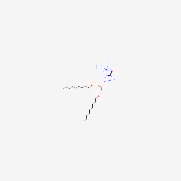 CCCCCCCCCC(=O)OCC(COC(=O)CCCCCCCCC)OCn1cnc2c(=O)[nH]c(N)nc21